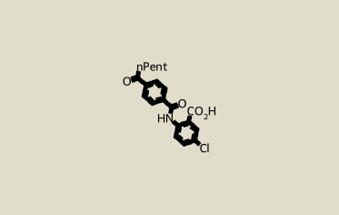 CCCCCC(=O)c1ccc(C(=O)Nc2ccc(Cl)cc2C(=O)O)cc1